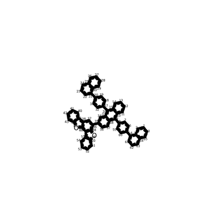 c1ccc2c(-c3ccc(-c4c5ccccc5c(-c5ccc(-c6cccc7ccccc67)cc5)c5cc(-c6cc7c8ccccc8oc7c7c6oc6ccccc67)ccc45)cc3)cccc2c1